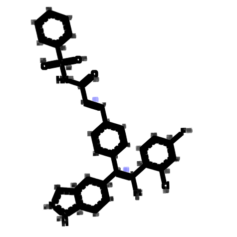 CC/C(=C(/c1ccc(/C=C/C(=O)NS(=O)(=O)c2ccccc2)cc1)c1ccc2[nH]ncc2c1)c1ccc(F)cc1Cl